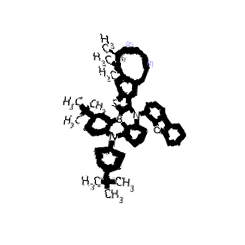 C[C@H]1/C=C\C=C/Cc2cc3c4c(sc3cc2C1(C)C)B1C2=CC(C(C)(C)C)=C=C=C2N(c2ccc(C(C)(C)C)cc2)c2cccc(c21)N4c1cccc2c1oc1ccccc12